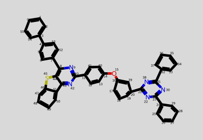 c1ccc(-c2ccc(-c3nc(-c4ccc(Oc5cccc(-c6nc(-c7ccccc7)nc(-c7ccccc7)n6)c5)cc4)nc4c3sc3ccccc34)cc2)cc1